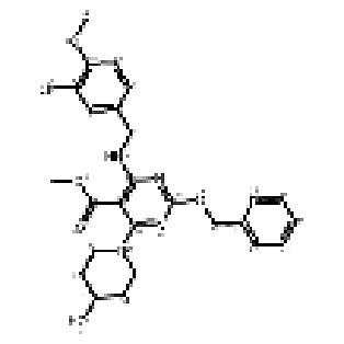 COC(=O)c1c(NCc2ccc(OC)c(Cl)c2)nc(OCc2ccccn2)nc1N1CCC(O)CC1